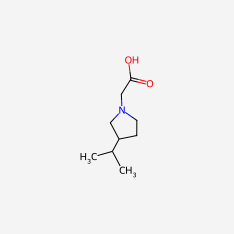 CC(C)C1CCN(CC(=O)O)C1